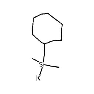 C[Si](C)([K])C1CCCCC1